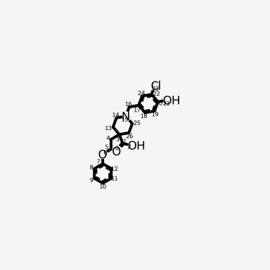 O=C(O)C1(CCOc2ccccc2)CCN(Cc2ccc(O)c(Cl)c2)CC1